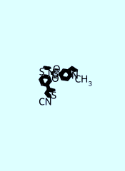 Cn1ccc2cc(S(=O)(=O)N3CCSc4ccc(-c5csc(C#N)c5)cc43)ccc21